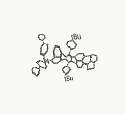 CC(C)(C)c1ccc(-c2c3c4cccc5c(N(c6ccc(-c7ccccc7)cc6)c6ccc(-c7ccccc7)cc6)ccc(c3c(-c3ccc(C(C)(C)C)cc3)c3c6ccc7c8cccc9cccc(c%10ccc(c23)c6c%107)c98)c54)cc1